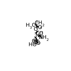 C=C(C)C(=O)OCCN(CCS(=O)(=O)O)C(N)=O